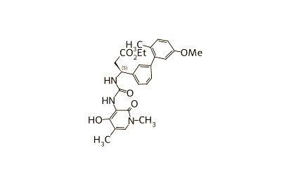 CCOC(=O)C[C@H](NC(=O)Nc1c(O)c(C)cn(C)c1=O)c1cccc(-c2cc(OC)ccc2C)c1